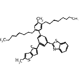 CCCCCCCCc1cc(-c2cc(-c3cc4sc(C)cc4s3)cc(-c3nc4ccccc4s3)c2)c(CCCCCCCC)cc1C